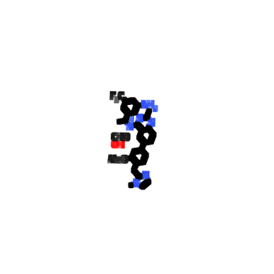 COc1cc(-c2ccc3nc(C)nc(NC(C)c4cc(N)cc(C(F)(F)F)c4)c3c2)ccc1Cc1nccn1C.O=CO